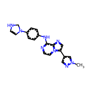 Cn1cc(-c2cnc3c(Nc4ccc(N5C=CNC5)cc4)nccn23)cn1